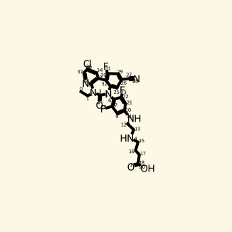 CCN1C(=O)N(c2c(F)cc(NCCNCCCC(=O)O)cc2F)c2cc(C#N)cc(F)c2-c2cc(Cl)cnc21